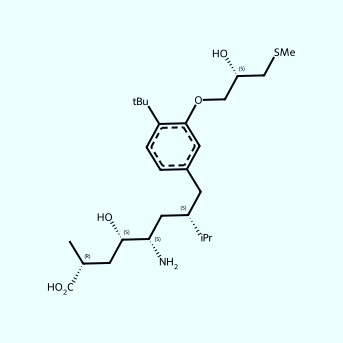 CSC[C@@H](O)COc1cc(C[C@@H](C[C@H](N)[C@@H](O)C[C@@H](C)C(=O)O)C(C)C)ccc1C(C)(C)C